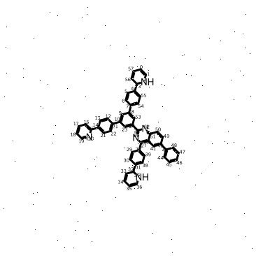 C1=CNC(c2ccc(-c3cc(-c4ccc(-c5ccccn5)cc4)cc(-c4nc(-c5ccc(C6C=CC=CN6)cc5)c5cc(-c6ccccc6)ccc5n4)c3)cc2)C=C1